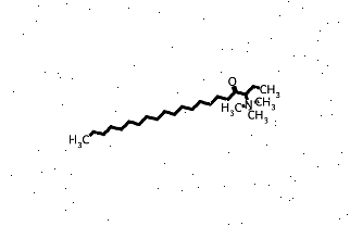 CCCCCCCCCCCCCCCCCC(=O)C(CC)[N+](C)(C)C